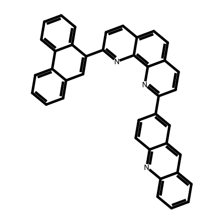 c1ccc2nc3ccc(-c4ccc5ccc6ccc(-c7cc8ccccc8c8ccccc78)nc6c5n4)cc3cc2c1